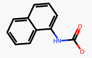 [O]C(=O)Nc1cccc2ccccc12